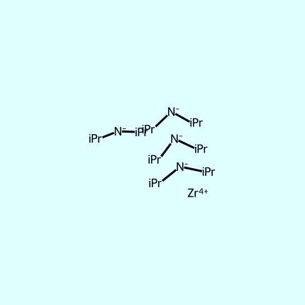 CC(C)[N-]C(C)C.CC(C)[N-]C(C)C.CC(C)[N-]C(C)C.CC(C)[N-]C(C)C.[Zr+4]